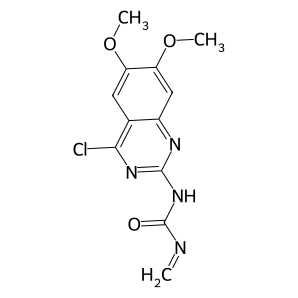 C=NC(=O)Nc1nc(Cl)c2cc(OC)c(OC)cc2n1